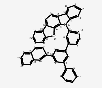 c1ccc(-c2cc(-c3ccnc(-n4c5ccccc5c5ccc6c7ccccc7oc6c54)c3)cc(-c3ccc4ccccc4c3)c2)cc1